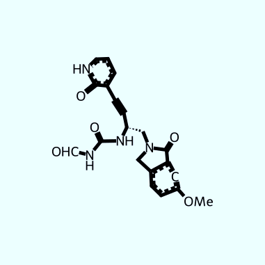 COc1ccc2c(c1)C(=O)N(C[C@@H](C#Cc1ccc[nH]c1=O)NC(=O)NC=O)C2